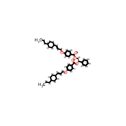 CCCC1CCC(C=CCOc2ccc(C(=O)OC[C@H](OC(=O)c3ccc(OCC=CC4CCC(CCC)CC4)cc3)c3ccccc3)cc2)CC1